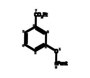 CCCCCOc1cccc(C(=O)OCC)c1